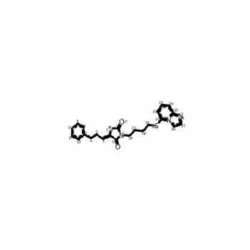 O=C1SC(=CCCc2ccccc2)C(=O)N1CCCCSc1cccc2nccn12